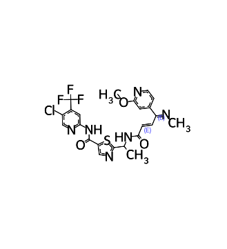 C/N=C(\C=C\C(=O)NC(C)c1ncc(C(=O)Nc2cc(C(F)(F)F)c(Cl)cn2)s1)c1ccnc(OC)c1